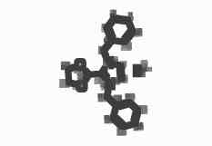 [Br-].c1ccc(Cn2cc[n+](Cc3ccccc3)c2C2OCCO2)cc1